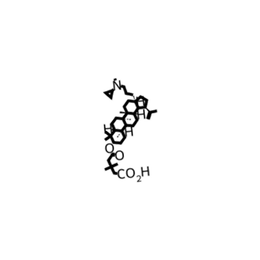 C=C(C)[C@@H]1CC[C@]2(CCCN(C)C3CC3)CC[C@]3(C)[C@H](CC[C@@H]4[C@@]5(C)CC[C@H](OC(=O)CC(C)(C)CC(=O)O)C(C)(C)[C@@H]5CC[C@]43C)[C@@H]12